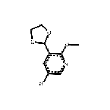 COc1ncc(Br)cc1C1OCCO1